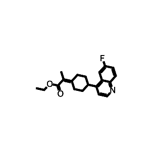 CCOC(=O)C(C)=C1CCC(c2ccnc3ccc(F)cc23)CC1